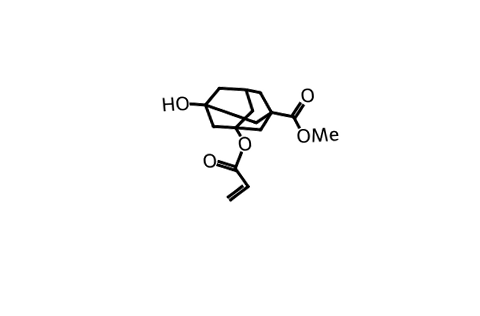 C=CC(=O)OC12CC3CC(O)(C1)CC(C(=O)OC)(C3)C2